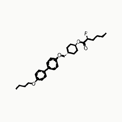 CCCCOc1ccc(-c2ccc(OC[C@H]3CC[C@H](OC(=O)[C@@H](F)CCCC)CC3)cc2)cc1